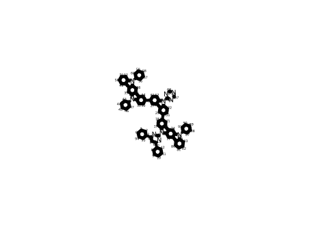 c1ccc(-c2cc(-c3ccccc3)nc(-n3c4ccc(-c5ccc6c(c5)c5cc(-c7ccc8c(c7)c7cc9c(cc7n8-c7ccccc7)c7ccccc7n9-c7ccccc7)ccc5n6-c5ncncn5)cc4c4cc5c(cc43)c3ccccc3n5-c3ccccc3)n2)cc1